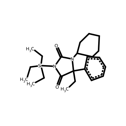 CCC1(c2ccccc2)C(=O)N([Si](CC)(CC)CC)C(=O)N1C1CCCCC1